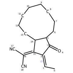 C/C=C1\C(=O)C2CCCCCCCCC2C1=C(C#N)C#N